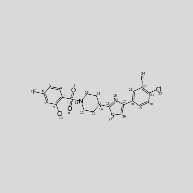 O=S(=O)(c1ccc(F)cc1Cl)N1CCN(c2nc(-c3ccc(Cl)c(F)c3)cs2)CC1